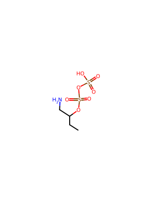 CCC(CN)OS(=O)(=O)OS(=O)(=O)O